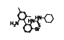 Cc1cc(C)c(-c2cccc(Br)c2NC(=S)NC2CCCCC2)c(N)c1